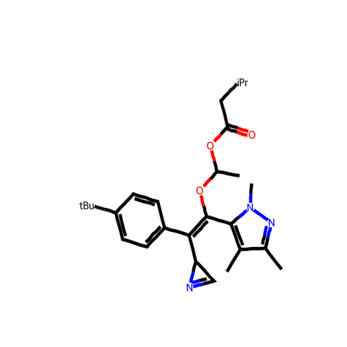 Cc1nn(C)c(/C(OC(C)OC(=O)CC(C)C)=C(/c2ccc(C(C)(C)C)cc2)C2C=N2)c1C